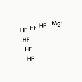 F.F.F.F.F.F.[Mg]